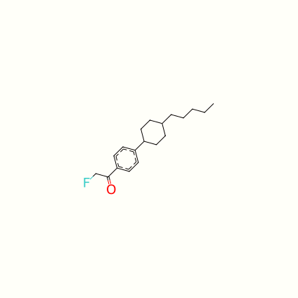 CCCCCC1CCC(c2ccc(C(=O)CF)cc2)CC1